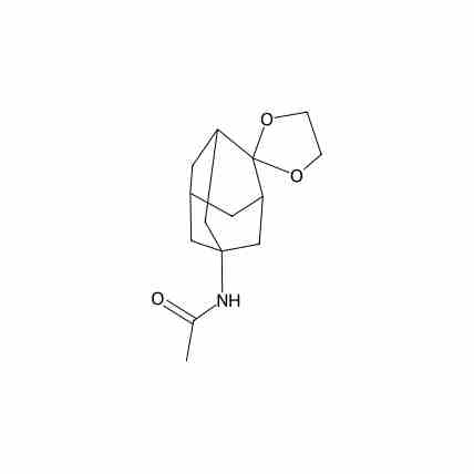 CC(=O)NC12CC3CC(C1)C1(OCCO1)C(C3)C2